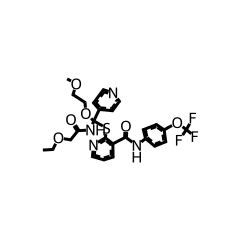 CCOCC(=O)NC(OCCOC)(Sc1ncccc1C(=O)Nc1ccc(OC(F)(F)F)cc1)c1ccncc1